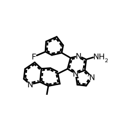 Cc1cc(-c2c(-c3cccc(F)c3)nc(N)c3nccn23)cc2cccnc12